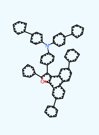 c1ccc(-c2ccc(N(c3ccc(-c4ccccc4)cc3)c3ccc(-c4c(-c5ccccc5)oc5c6cc(-c7ccccc7)ccc6c6ccc(-c7ccccc7)cc6c45)cc3)cc2)cc1